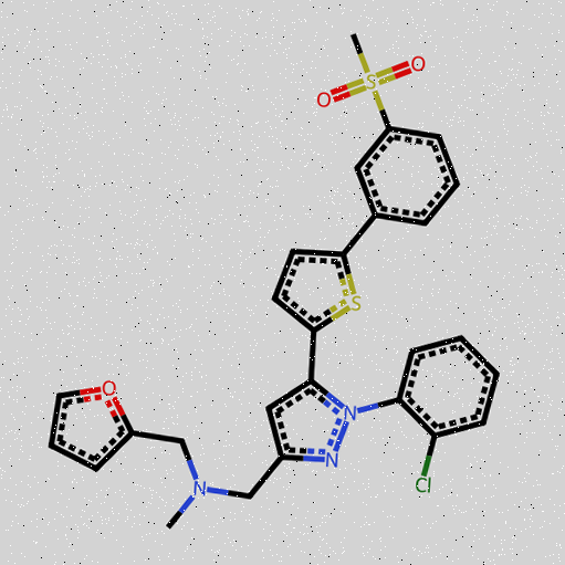 CN(Cc1cc(-c2ccc(-c3cccc(S(C)(=O)=O)c3)s2)n(-c2ccccc2Cl)n1)Cc1ccco1